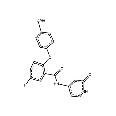 COc1ccc(Oc2ccc(F)cc2C(=O)Nc2cc[nH]c(=O)c2)cc1